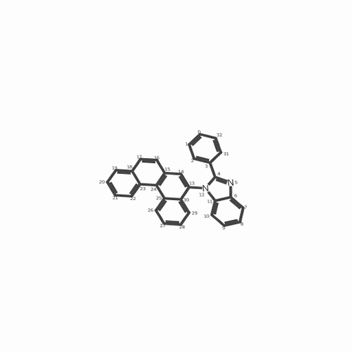 c1ccc(-c2nc3ccccc3n2-c2cc3ccc4ccccc4c3c3ccccc23)cc1